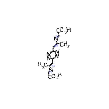 CC(=C\c1nnc(/C=C(C)/N=C/C(=O)O)nn1)/N=C/C(=O)O